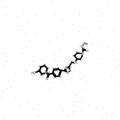 CC(C)(C)OC(=O)N1CCC(OCc2noc(-c3ccc(C(=O)N4CCCC(O)C4)cc3)n2)CC1